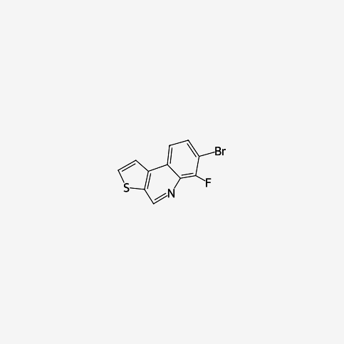 Fc1c(Br)ccc2c1ncc1sccc12